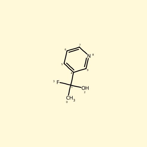 CC(O)(F)c1cccnc1